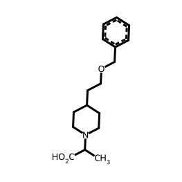 CC(C(=O)O)N1CCC(CCOCc2ccccc2)CC1